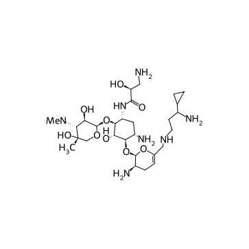 CN[C@@H]1[C@@H](O)[C@@H](O[C@@H]2[C@@H](O)[C@H](O[C@H]3OC(CNCCC(N)C4CC4)=CC[C@H]3N)[C@@H](N)C[C@H]2NC(=O)[C@@H](O)CN)OC[C@]1(C)O